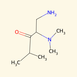 CC(C)C(=O)C(CN)N(C)C